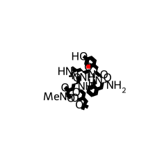 CNC(=O)C(=O)CC[C@H](NC(=O)CC1CC(C)(C)OC1=O)C(=O)N[C@@H](Cc1c[nH]cn1)C(=O)N[C@@H](Cc1ccc(O)cc1)C(=O)N1Cc2ccccc2C[C@H]1C(N)=O